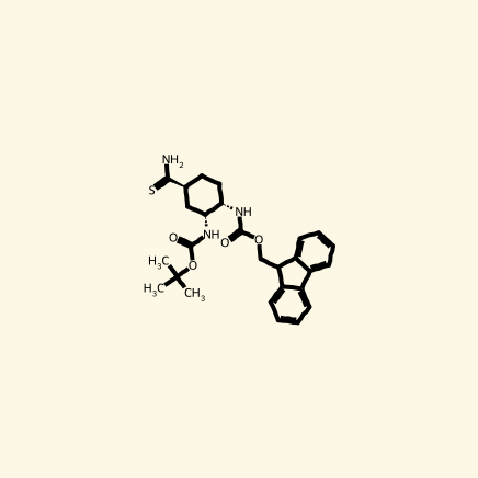 CC(C)(C)OC(=O)N[C@@H]1C[C@@H](C(N)=S)CC[C@@H]1NC(=O)OCC1c2ccccc2-c2ccccc21